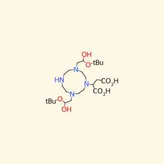 CC(C)(C)OC(O)CN1CCNCCN(CC(O)OC(C)(C)C)CCN(C(CC(=O)O)C(=O)O)CC1